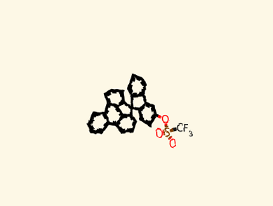 O=S(=O)(Oc1ccc2c(c1)-c1ccccc1C21c2cccc3c4ccccc4c4cccc1c4c23)C(F)(F)F